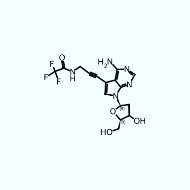 Nc1ncnc2c1c(C#CCNC(=O)C(F)(F)F)cn2[C@H]1CC(O)[C@@H](CO)O1